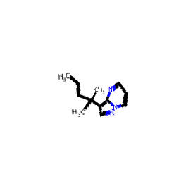 CCCC(C)(C)c1cnn2cccnc12